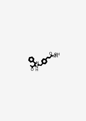 CC(=O)c1[nH]c(Cc2ccc(/C=C/C(=O)NO)cc2)nc1-c1ccccc1